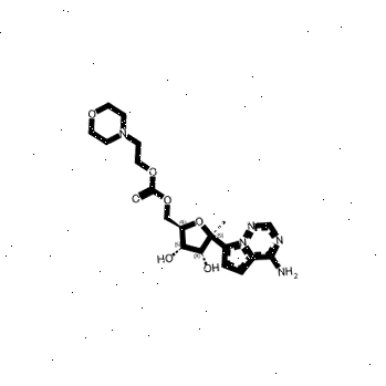 C[C@@]1(c2ccc3c(N)ncnn23)O[C@H](COC(=O)OCCN2CCOCC2)[C@@H](O)[C@H]1O